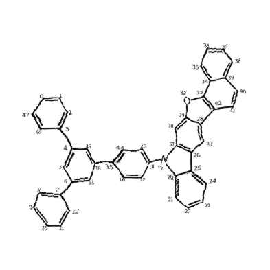 c1ccc(-c2cc(-c3ccccc3)cc(-c3ccc(-n4c5ccccc5c5cc6c(cc54)oc4c5ccccc5ccc64)cc3)c2)cc1